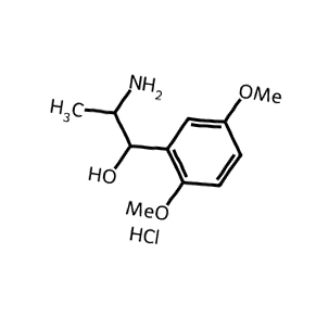 COc1ccc(OC)c(C(O)C(C)N)c1.Cl